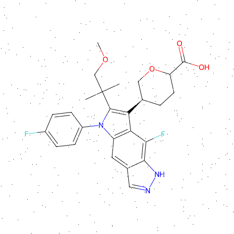 COCC(C)(C)c1c([C@@H]2CCC(C(=O)O)OC2)c2c(F)c3[nH]ncc3cc2n1-c1ccc(F)cc1